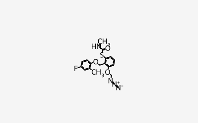 CNC(=O)Sc1cccc(OCN=[N+]=[N-])c1COc1ccc(F)cc1C